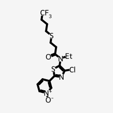 CCN(C(=O)CCSCCCC(F)(F)F)c1sc(-c2ccc[n+]([O-])c2)nc1Cl